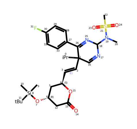 CC(C)C1(/C=C/[C@@H]2C[C@@H](O[Si](C)(C)C(C)(C)C)CC(=O)O2)C=NC(N(C)S(C)(=O)=O)N=C1c1ccc(F)cc1